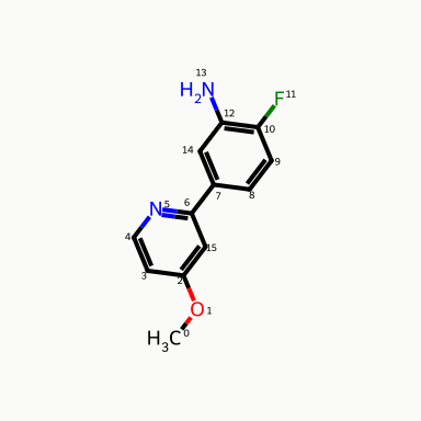 COc1ccnc(-c2ccc(F)c(N)c2)c1